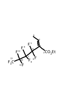 CC=C(C(=O)OCC)C(F)(F)C(F)(F)C(F)(F)C(F)(F)F